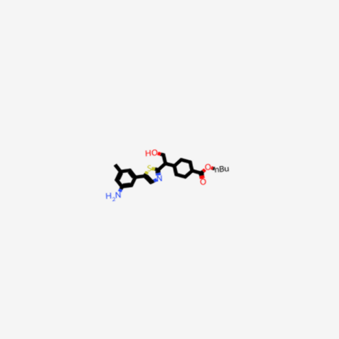 CCCCOC(=O)C1CCC(C(CO)c2ncc(-c3cc(C)cc(N)c3)s2)CC1